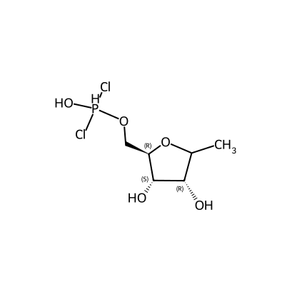 CC1O[C@H](CO[PH](O)(Cl)Cl)[C@@H](O)[C@H]1O